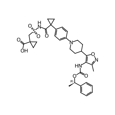 Cc1noc(C2CCN(c3ccc(C4(C(=O)NS(=O)(=O)CC5(C(=O)O)CC5)CC4)cc3)CC2)c1NC(=O)O[C@H](C)c1ccccc1